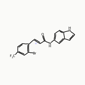 O=C(/C=C/c1ccc(C(F)(F)F)cc1Br)Nc1ccc2[nH]ccc2c1